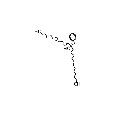 CCCCCCCCCCCCC(O)(COCCOCCOCCO)Oc1ccccc1